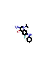 CC(C)n1cc(N)c(=O)c2cc(F)c(NC3CCCCC3)cc21